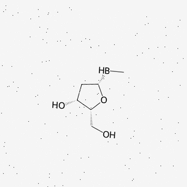 CB[C@H]1C[C@@H](O)[C@@H](CO)O1